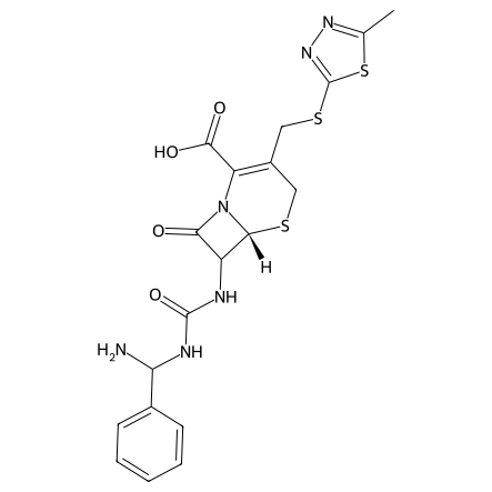 Cc1nnc(SCC2=C(C(=O)O)N3C(=O)C(NC(=O)NC(N)c4ccccc4)[C@H]3SC2)s1